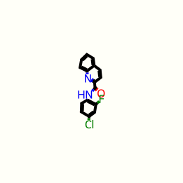 O=C(Nc1ccc(Cl)cc1F)c1ccc2ccccc2n1